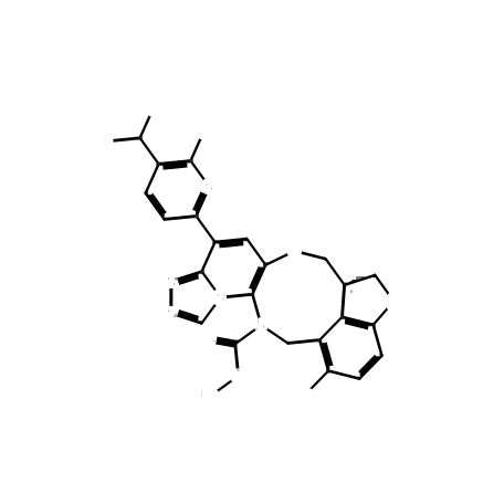 Cc1nc(-c2cc3c(n4cnnc24)N(C(=O)OC(C)(C)C)Cc2c(F)ccc4c2[C@H](CO4)CO3)ccc1C(F)F